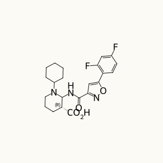 O=C(NC1[C@H](C(=O)O)CCCN1C1CCCCC1)c1cc(-c2ccc(F)cc2F)on1